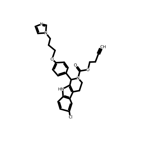 C#CCCOC(=O)N1CCc2c([nH]c3ccc(Cl)cc23)C1c1ccc(OCCCn2ccnc2)cc1